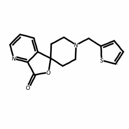 O=C1OC2(CCN(Cc3cc[c]s3)CC2)c2cccnc21